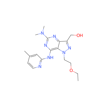 CCOCCn1nc(CO)c2nc(N(C)C)nc(Nc3cc(C)ccn3)c21